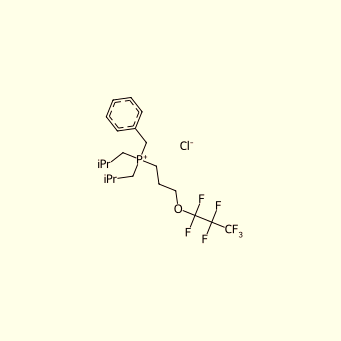 CC(C)C[P+](CCCOC(F)(F)C(F)(F)C(F)(F)F)(Cc1ccccc1)CC(C)C.[Cl-]